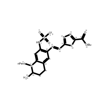 CCCCCN1c2cc(NS(=O)(=O)C(F)(F)F)c(N=Nc3nnc(C(=O)OCC(C)C)s3)cc2CCC1C